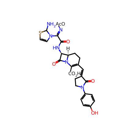 CC(=O)ON=C(C(=O)N[C@@H]1C(=O)N2C(C(=O)O)=C(C=C3CCN(c4ccc(O)cc4)C3=O)CC[C@H]12)N1C=CSC1N